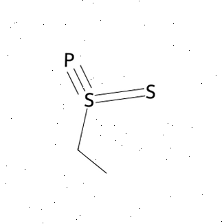 CCS(#P)=S